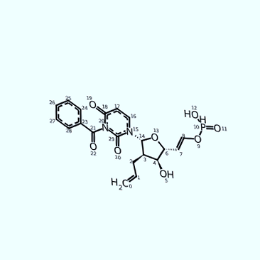 C=CC[C@@H]1[C@H](O)[C@@H](/C=C/O[PH](=O)O)O[C@H]1n1ccc(=O)n(C(=O)c2ccccc2)c1=O